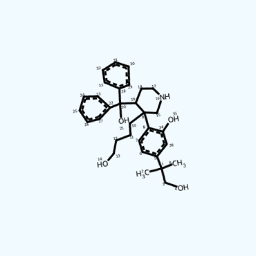 CC(C)(CO)c1ccc(C2(CCCCO)CNCCC2C(O)(c2ccccc2)c2ccccc2)c(O)c1